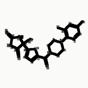 Cc1cnc(N2CCN(C(=O)c3ccc(C4(C(C)C)NC(=O)NC4=O)s3)CC2)c(C)c1